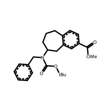 COC(=O)c1ccc2c(c1)CC(N(Cc1ccccc1)C(=O)OC(C)(C)C)CCC2